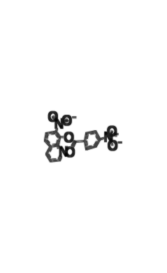 O=C(Oc1c([N+](=O)[O-])ccc2cccnc12)c1ccc([N+](=O)[O-])cc1